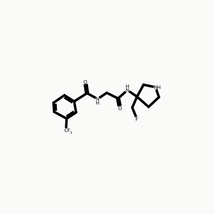 O=C(CNC(=O)c1cccc(C(F)(F)F)c1)NC1(CF)CCNC1